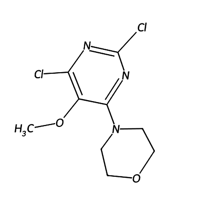 COc1c(Cl)nc(Cl)nc1N1CCOCC1